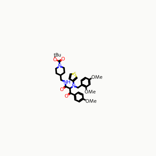 COc1ccc(C(=O)C(C(=O)NCC2CCN(C(=O)OC(C)(C)C)CC2)N(Cc2ccc(OC)cc2OC)c2ccsc2)cc1